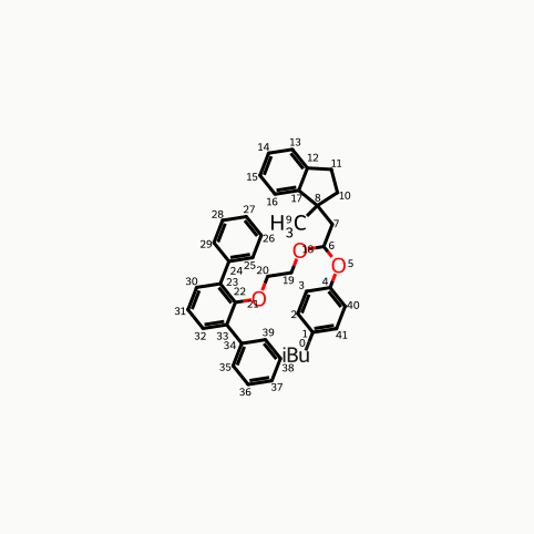 CCC(C)c1ccc(OC(CC2(C)CCc3ccccc32)OCCOc2c(-c3ccccc3)cccc2-c2ccccc2)cc1